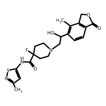 Cc1cc(NC(=O)C2(F)CCN(CC(O)c3ccc4c(c3C)COC4=O)CC2)sn1